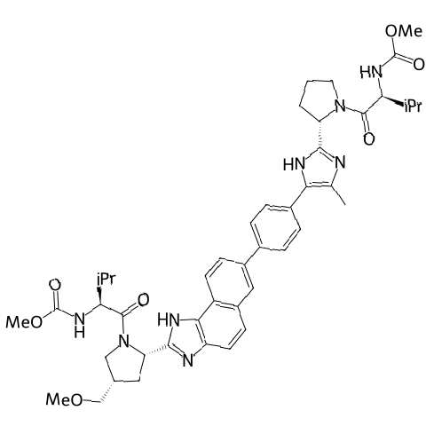 COC[C@H]1C[C@@H](c2nc3ccc4cc(-c5ccc(-c6[nH]c([C@@H]7CCCN7C(=O)[C@@H](NC(=O)OC)C(C)C)nc6C)cc5)ccc4c3[nH]2)N(C(=O)[C@@H](NC(=O)OC)C(C)C)C1